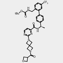 C[C@@H](NC(=O)c1ccnc(N2CC3(CN(C(=O)C4COC4)C3)C2)n1)c1ccc(-c2cc(C(F)(F)F)ccc2CNC(=O)OC(C)(C)C)cc1